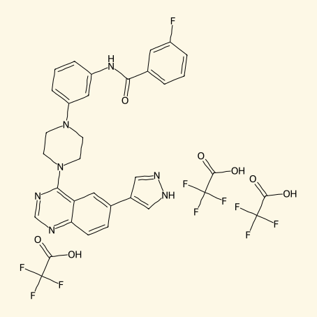 O=C(Nc1cccc(N2CCN(c3ncnc4ccc(-c5cn[nH]c5)cc34)CC2)c1)c1cccc(F)c1.O=C(O)C(F)(F)F.O=C(O)C(F)(F)F.O=C(O)C(F)(F)F